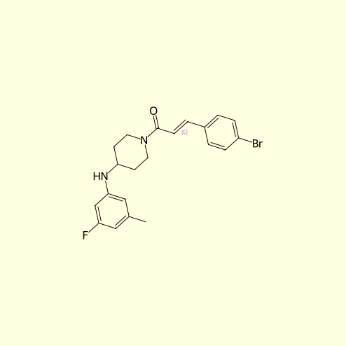 Cc1cc(F)cc(NC2CCN(C(=O)/C=C/c3ccc(Br)cc3)CC2)c1